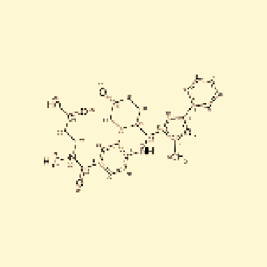 Cc1oc(-c2ccccc2)cc1C(Nc1ccc(C(=O)N(C)CCC(=O)O)cc1)C1CCC(=O)CC1